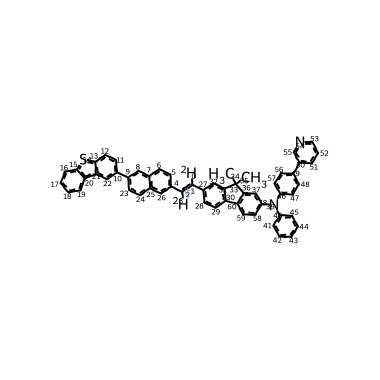 [2H]/C(=C(/[2H])c1ccc2cc(-c3ccc4sc5ccccc5c4c3)ccc2c1)c1ccc2c(c1)C(C)(C)c1cc(N(c3ccccc3)c3ccc(-c4cccnc4)cc3)ccc1-2